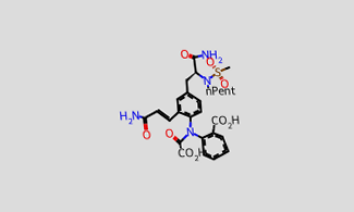 CCCCCN([C@@H](Cc1ccc(N(C(=O)C(=O)O)c2ccccc2C(=O)O)c(/C=C/C(N)=O)c1)C(N)=O)S(C)(=O)=O